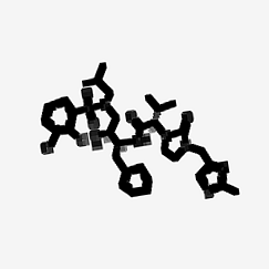 Cc1nc(CN2CCN([C@H](C(=O)N[C@@H](Cc3ccccc3)[C@@H](O)CN(CC(C)C)S(=O)(=O)c3cccc(Cl)c3Cl)C(C)C)C2=O)cs1